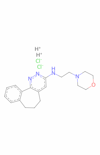 [Cl-].[Cl-].[H+].[H+].c1ccc2c(c1)CCCc1cc(NCCN3CCOCC3)nnc1-2